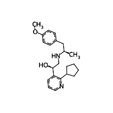 COc1ccc(C[C@@H](C)NC[C@H](O)c2cccnc2C2CCCC2)cc1